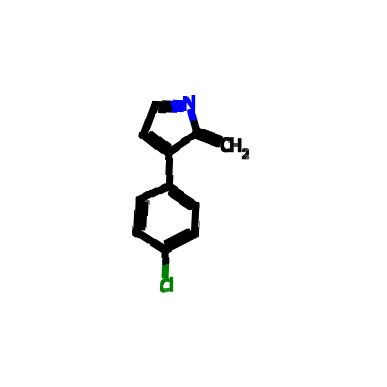 C=C1N=CC=C1c1ccc(Cl)cc1